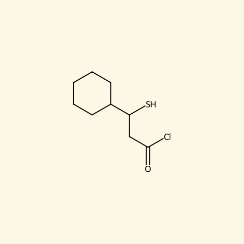 O=C(Cl)CC(S)C1CCCCC1